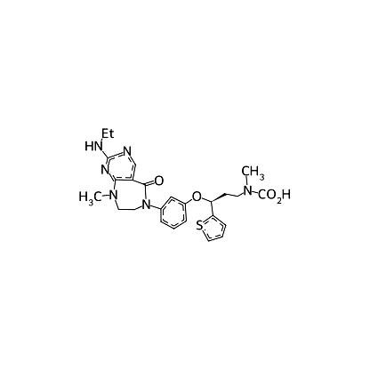 CCNc1ncc2c(n1)N(C)CCN(c1cccc(O[C@@H](CCN(C)C(=O)O)c3cccs3)c1)C2=O